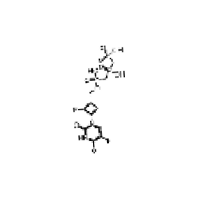 O=c1[nH]c(=O)n([C@H]2C[C@@H](COP(=O)(O)CP(=O)(O)CP(=O)(O)O)[C@@H]2F)cc1F